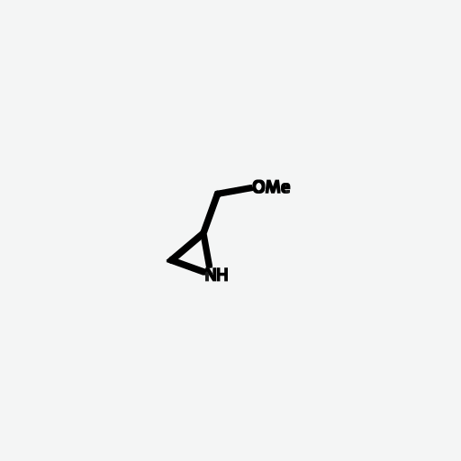 COCC1CN1